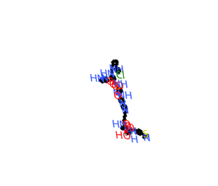 Cc1ncsc1-c1ccc(CNC(=O)[C@@H]2C[C@@H](O)CN2C(=O)[C@@H](NC(=O)CCCCCCN2CCC(N3CCC(CNc4ccc(S(=O)(=O)NC(=O)c5ccc(NCCNCC6=C(c7ccc(Cl)cc7)CC(C)(C)CC6)cc5Oc5cnc6[nH]ccc6c5)cc4N=O)CC3)CC2)C(C)(C)C)cc1